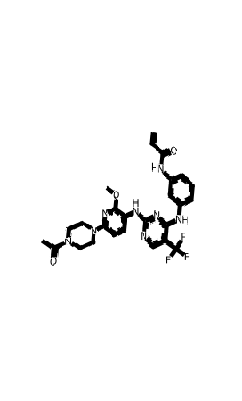 C=CC(=O)Nc1cccc(Nc2nc(Nc3ccc(N4CCN(C(C)=O)CC4)nc3OC)ncc2C(F)(F)F)c1